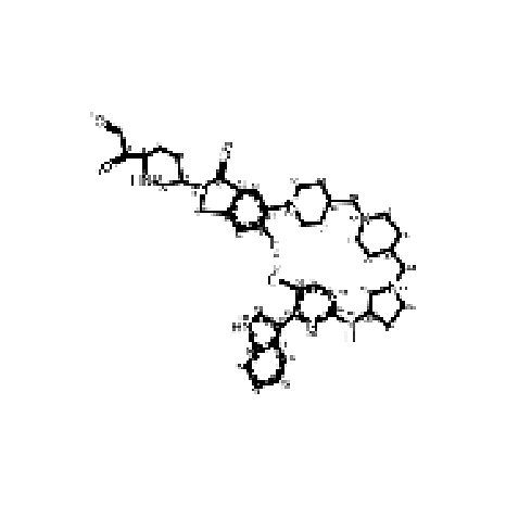 O=CC(=O)C1CCC(N2Cc3cc(F)c(N4CCC(CN5CCC(CN6CCC(Nc7ncc(Cl)c(-c8c[nH]c9ccccc89)n7)C6)CC5)CC4)cc3C2=O)CN1